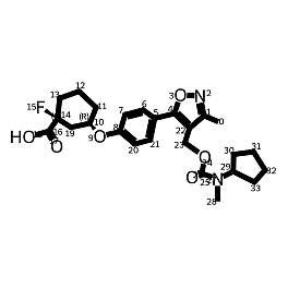 Cc1noc(-c2ccc(O[C@@H]3CCC[C@@](F)(C(=O)O)C3)cc2)c1COC(=O)N(C)C1CCCC1